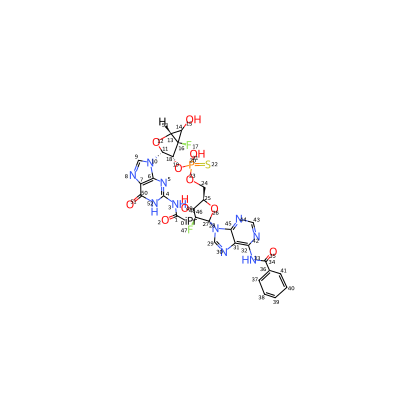 CC(C)C(=O)Nc1nc2c(ncn2[C@@H]2O[C@@H]3C(O)[C@]3(F)[C@@H]2OP(O)(=S)OC[C@H]2O[C@@H](n3cnc4c(NC(=O)c5ccccc5)ncnc43)[C@@H](F)[C@@H]2O)c(=O)[nH]1